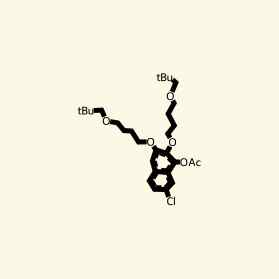 CC(=O)Oc1c(OCCCCOCC(C)(C)C)c(OCCCCOCC(C)(C)C)cc2ccc(Cl)cc12